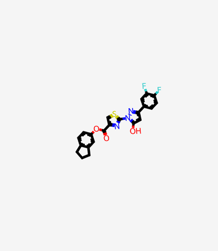 O=C(Oc1ccc2c(c1)CCC2)c1csc(-n2nc(-c3ccc(F)c(F)c3)cc2O)n1